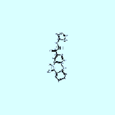 CN1C(=O)c2ccccc2Sc2ccc(C(=O)NCc3cncs3)cc21